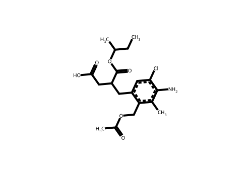 CCC(C)OC(=O)C(CC(=O)O)Cc1cc(Cl)c(N)c(C)c1COC(C)=O